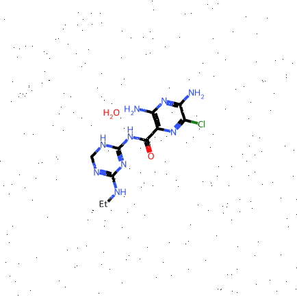 CCNC1=NCNC(NC(=O)c2nc(Cl)c(N)nc2N)=N1.O